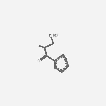 CCCCCCCC(C)C(=O)c1ccccc1